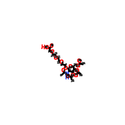 CC(=O)N[C@@H]1[C@H](OCCOCCOCCOCC(=O)O)O[C@H](COC(C)=O)[C@H](OC(C)=O)[C@@H]1OC(C)=O